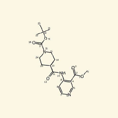 COC(=O)c1cnccc1NC(=O)C1CCN(C(=O)OC(C)(C)C)CC1